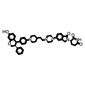 O=C1CC[C@H](N2Cc3cc(N4CCN(CCC5CCN(c6ccc(C7c8ccc(O)cc8OC[C@@H]7c7ccccc7)cc6)CC5)CC4)ccc3C2=O)C(=O)N1